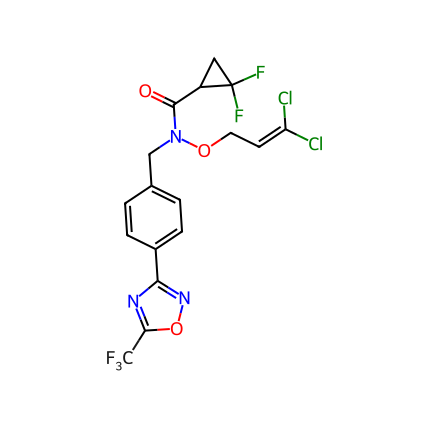 O=C(C1CC1(F)F)N(Cc1ccc(-c2noc(C(F)(F)F)n2)cc1)OCC=C(Cl)Cl